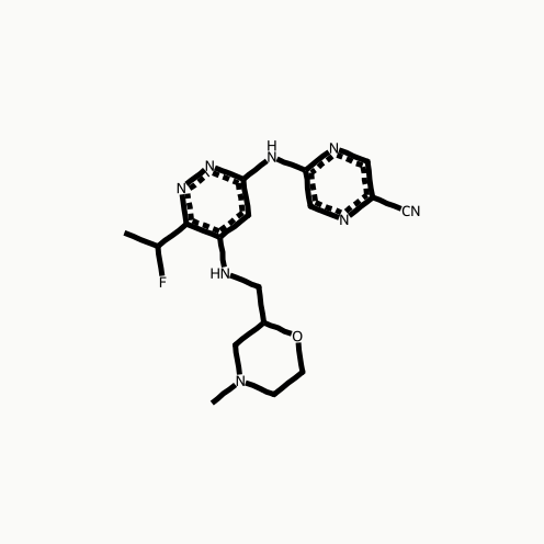 CC(F)c1nnc(Nc2cnc(C#N)cn2)cc1NCC1CN(C)CCO1